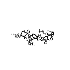 CC[C@@]1(O)C(=O)OCc2c1cc1n(c2=O)Cc2cc3c(CN(C)C)c(OC(=O)N4CCC(NC)CC4)ccc3nc2-1